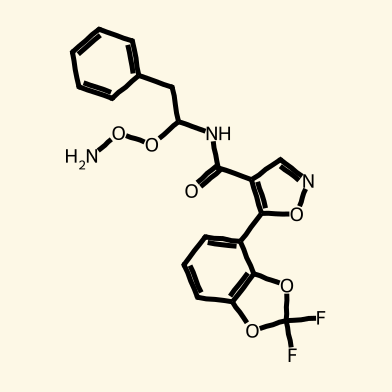 NOOC(Cc1ccccc1)NC(=O)c1cnoc1-c1cccc2c1OC(F)(F)O2